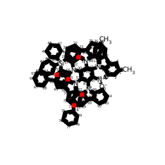 Cc1ccc2c(c1)c1cc(C)ccc1n2-c1c(-n2c3ccccc3c3ccccc32)c(N2c3ccccc3[Si](c3ccccc3)(c3ccccc3)c3ccccc32)c(-n2c3ccc(-c4ccccc4)cc3c3cc(-c4ccccc4)ccc32)c(-n2c3ccccc3c3ccccc32)c1[N+](=O)[O-]